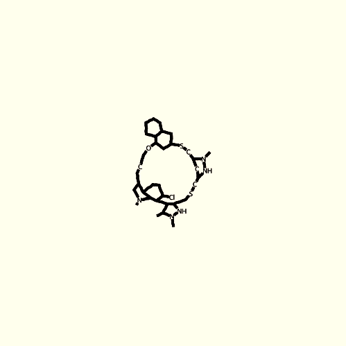 CC1C2C(CSCC3CC(CSC4CC5CCCCC5C(C4)OCCCC4CN(C)C5C4CCC(Cl)C25)N(C)N3)NN1C